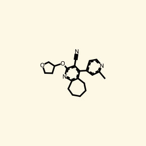 Cc1cc(-c2c(C#N)c(OC3CCOC3)nc3c2CCCCC3)ccn1